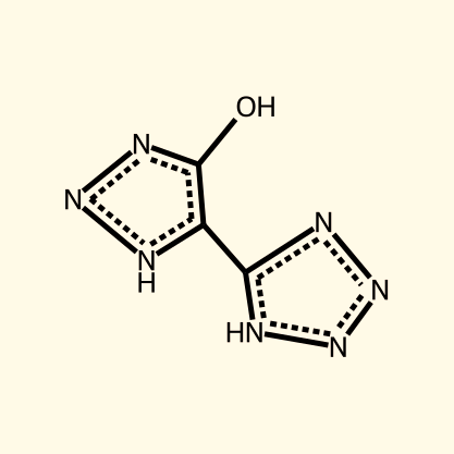 Oc1nn[nH]c1-c1nnn[nH]1